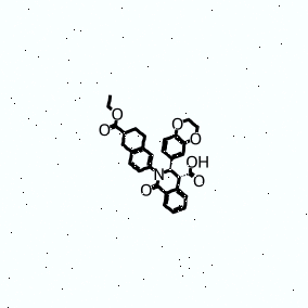 CCOC(=O)C1CCc2cc(N3C(=O)c4ccccc4[C@@H](C(=O)O)[C@@H]3c3ccc4c(c3)OCCO4)ccc2C1